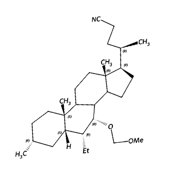 CC[C@H]1[C@@H](OCOC)C2C3CC[C@H]([C@H](C)CCC#N)[C@@]3(C)CCC2[C@@]2(C)CC[C@@H](C)C[C@@H]12